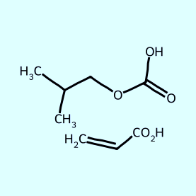 C=CC(=O)O.CC(C)COC(=O)O